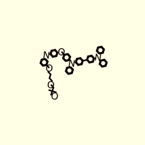 CN(c1ccc(Oc2ccc(N(c3ccccc3)c3ccc(-c4ccc(N(c5ccccc5)c5ccccc5)cc4)cc3)cc2)cc1)c1cccc(OCCCCOCC2(C)COC2)c1